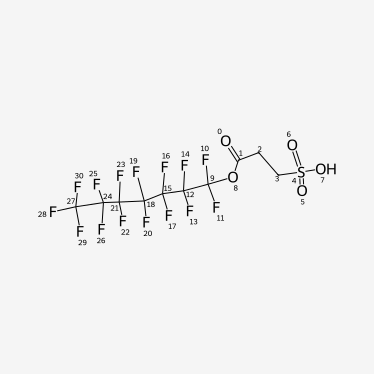 O=C(CCS(=O)(=O)O)OC(F)(F)C(F)(F)C(F)(F)C(F)(F)C(F)(F)C(F)(F)C(F)(F)F